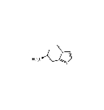 C[C@@H](Cc1nccn1C)C(=O)O